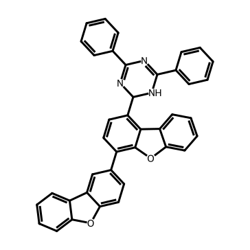 c1ccc(C2=NC(c3ccc(-c4ccc5oc6ccccc6c5c4)c4oc5ccccc5c34)NC(c3ccccc3)=N2)cc1